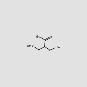 CC(C)(C)OC(CC(=O)O)C(=O)C(C)(C)C